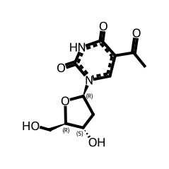 CC(=O)c1cn([C@H]2C[C@H](O)[C@@H](CO)O2)c(=O)[nH]c1=O